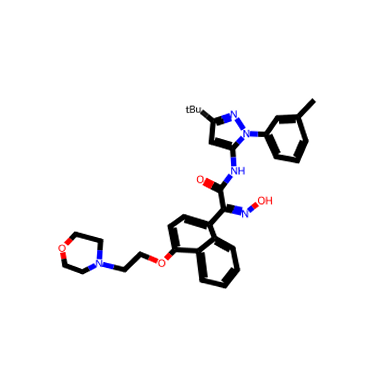 Cc1cccc(-n2nc(C(C)(C)C)cc2NC(=O)C(=NO)c2ccc(OCCN3CCOCC3)c3ccccc23)c1